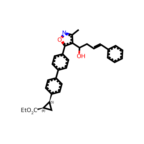 CCOC(=O)[C@@H]1C[C@@H]1c1ccc(-c2ccc(-c3onc(C)c3C(O)CC=Cc3ccccc3)cc2)cc1